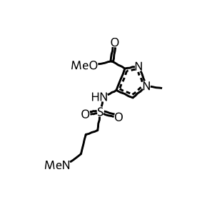 CNCCCS(=O)(=O)Nc1cn(C)nc1C(=O)OC